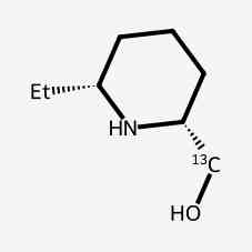 CC[C@@H]1CCC[C@H]([13CH2]O)N1